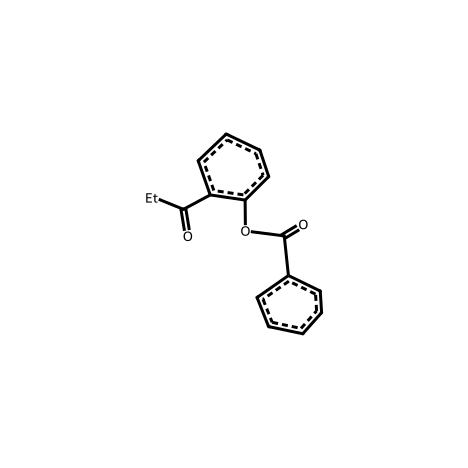 CCC(=O)c1ccccc1OC(=O)c1ccccc1